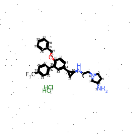 Cl.Cl.N[C@@H]1CCN(CCNC2CC2c2ccc(OCc3ccccc3)c(-c3ccc(C(F)(F)F)cc3)c2)C1